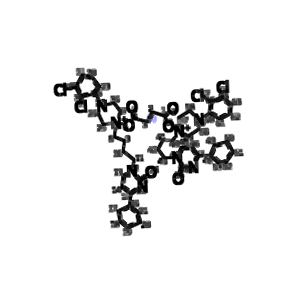 O=C(/C=C/C(=O)O[N+]1(CCCCn2ccc(-c3ccccc3)nc2=O)CCN(c2cccc(Cl)c2Cl)CC1)O[N+]1(CCCCn2ccc(-c3ccccc3)nc2=O)CCN(c2cccc(Cl)c2Cl)CC1